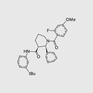 COc1ccc(C(=O)N2CCC[C@H](C(=O)Nc3cccc(C(C)(C)C)c3)[C@@H]2c2ccccc2)c(F)c1